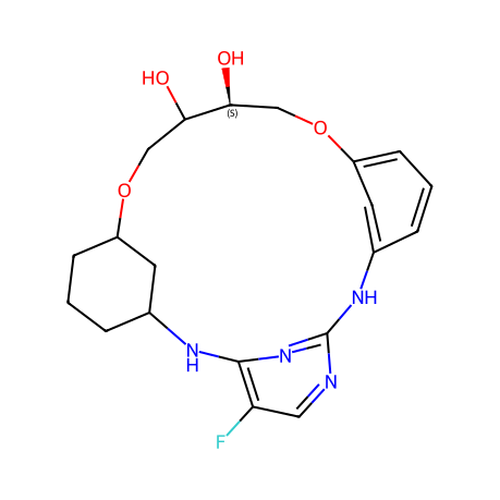 OC1COC2CCCC(C2)Nc2nc(ncc2F)Nc2cccc(c2)OC[C@@H]1O